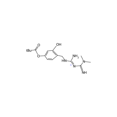 CN(C)C(=N)/N=C(\N)NCc1ccc(OC(=O)C(C)(C)C)cc1O